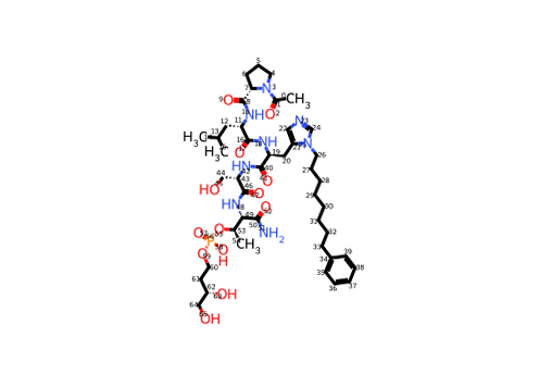 CC(=O)N1CCC[C@H]1C(=O)N[C@@H](CC(C)C)C(=O)N[C@@H](Cc1cncn1CCCCCCCCc1ccccc1)C(=O)N[C@@H](CO)C(=O)N[C@H](C(N)=O)[C@@H](C)OP(=O)(O)OCC[C@H](O)CO